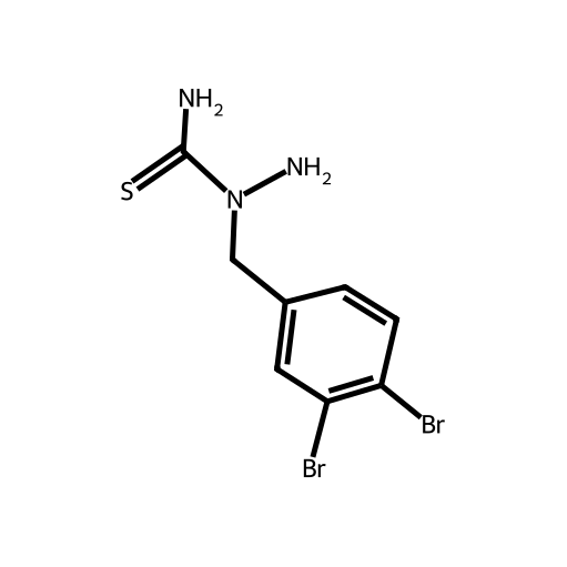 NC(=S)N(N)Cc1ccc(Br)c(Br)c1